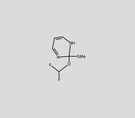 CSC1(OC(F)F)N=CC=CN1